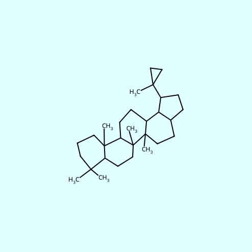 CC1(C)CCCC2(C)C1CCC1(C)C2CCC2C3C(CCC3C3(C)CC3)CCC21C